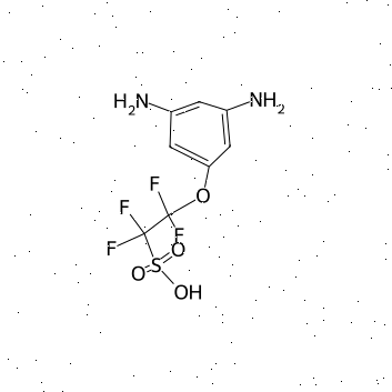 Nc1cc(N)cc(OC(F)(F)C(F)(F)S(=O)(=O)O)c1